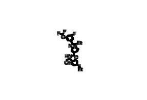 CCSc1ccc(C(CO)NC(=O)c2ccn3c(CC)c(-c4cc(F)cc(OC(F)F)c4)nc3c2)cc1